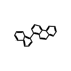 [c]1cccc2c(-c3cccc4c3ccc3ccccc34)cccc12